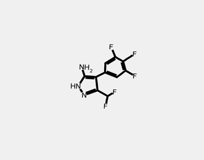 Nc1[nH]nc(C(F)F)c1-c1cc(F)c(F)c(F)c1